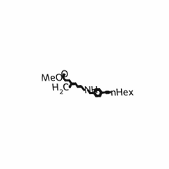 C=C/C(=C\C=C\CNCc1ccc(C#CCCCCCC)cc1)CCC(=O)OC